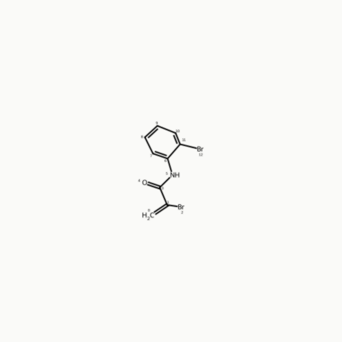 C=C(Br)C(=O)Nc1ccccc1Br